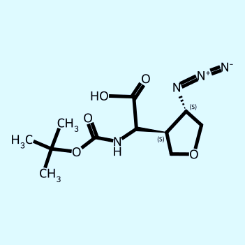 CC(C)(C)OC(=O)NC(C(=O)O)[C@@H]1COC[C@H]1N=[N+]=[N-]